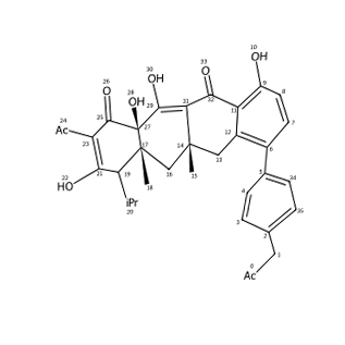 CC(=O)Cc1ccc(-c2ccc(O)c3c2C[C@]2(C)C[C@]4(C)C(C(C)C)C(O)=C(C(C)=O)C(=O)[C@]4(O)C(O)=C2C3=O)cc1